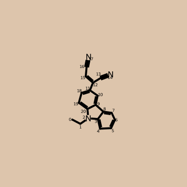 CCn1c2ccccc2c2cc(/C(C#N)=C/C#N)ccc21